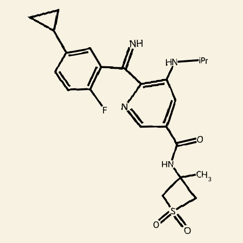 CC(C)Nc1cc(C(=O)NC2(C)CS(=O)(=O)C2)cnc1C(=N)c1cc(C2CC2)ccc1F